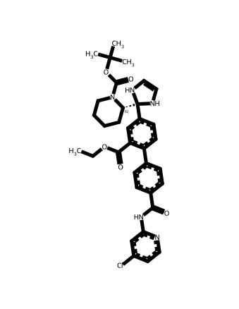 CCOC(=O)c1cc(C2([C@@H]3CCCCN3C(=O)OC(C)(C)C)NC=CN2)ccc1-c1ccc(C(=O)Nc2cc(Cl)ccn2)cc1